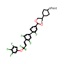 CCCCCC1CCC(C2COC(c3ccc(-c4cc(F)c(/C=C/C(F)(F)Oc5cc(F)c(F)c(F)c5)c(F)c4)c(F)c3)OC2)CC1